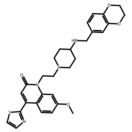 COc1ccc2c(-c3nccs3)cc(=O)n(CCN3CCC(NCc4ccc5c(c4)OCCO5)CC3)c2c1